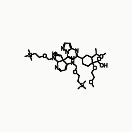 COCCOC1(C(=O)O)CCC(c2cc(C3(C=O)C(NCOCC[Si](C)(C)C)=CC=NC3NCOCC[Si](C)(C)C)n3nccc3n2)CC1C(C)OC